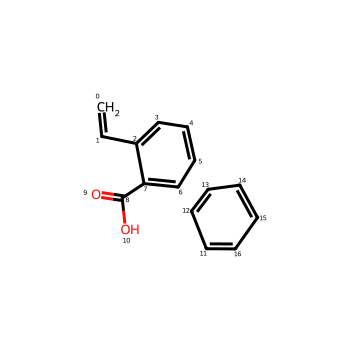 C=Cc1ccccc1C(=O)O.c1ccccc1